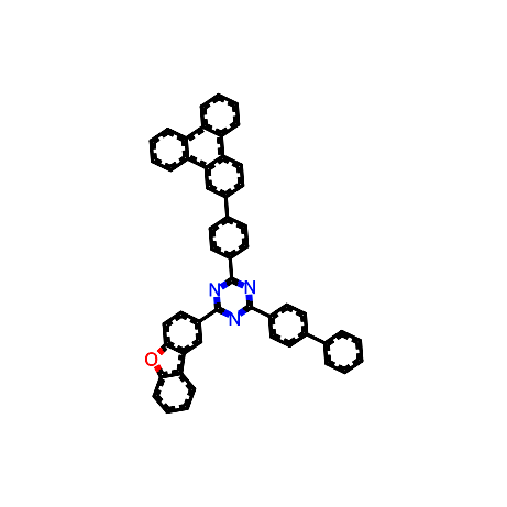 c1ccc(-c2ccc(-c3nc(-c4ccc(-c5ccc6c7ccccc7c7ccccc7c6c5)cc4)nc(-c4ccc5oc6ccccc6c5c4)n3)cc2)cc1